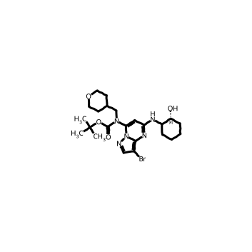 CC(C)(C)OC(=O)N(CC1CCOCC1)c1cc(NC2CCCC[C@H]2O)nc2c(Br)cnn12